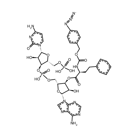 [N-]=[N+]=Nc1ccc(COC(=O)N[C@@H](CCc2ccccc2)C(=O)O[C@H]2[C@@H](O)[C@H](n3cnc4c(N)ncnc43)O[C@@H]2COP(=O)(O)O[C@H]2[C@@H](O)[C@H](n3ccc(N)nc3=O)O[C@@H]2COP(=O)(O)O)cc1